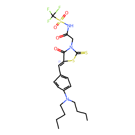 CCCCN(CCCC)c1ccc(/C=C2\SC(=S)N(CC(=O)NS(=O)(=O)C(F)(F)F)C2=O)cc1